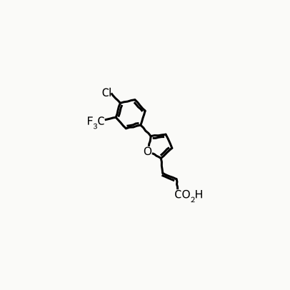 O=C(O)/C=C/c1ccc(-c2ccc(Cl)c(C(F)(F)F)c2)o1